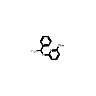 COc1cccc(NC(C)c2ccccc2)n1